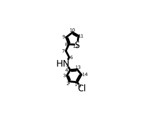 Clc1[c]cc(NCCc2cccs2)cc1